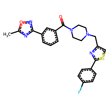 Cc1nc(-c2cccc(C(=O)N3CCN(Cc4csc(-c5ccc(F)cc5)n4)CC3)c2)no1